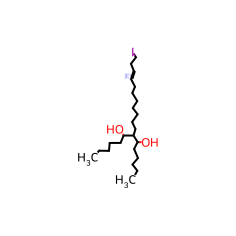 CCCCCC(O)C(CCCCCCC/C=C/CCI)C(O)CCCCC